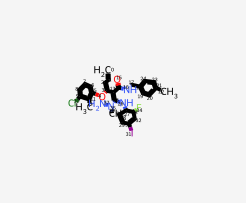 C=C/C=C(Oc1cccc(Cl)c1C)\C(C(=O)NCc1ccc(C)cc1)=C(\NC1C=CC(I)=CC1F)N(C)N